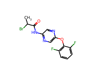 CC(Br)C(=O)Nc1cnc(Oc2c(F)cccc2F)cn1